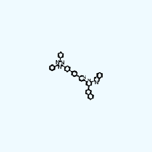 c1ccc(-c2nc(-c3ccccc3)nc(-c3ccc(-c4ccc(-c5ccc(-c6cc(-c7ccc8ccccc8c7)cc(-c7cc8ccccc8cn7)n6)nc5)cc4)cc3)n2)cc1